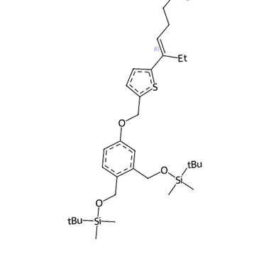 CC/C(=C\CCC(=O)O)c1ccc(COc2ccc(CO[Si](C)(C)C(C)(C)C)c(CO[Si](C)(C)C(C)(C)C)c2)s1